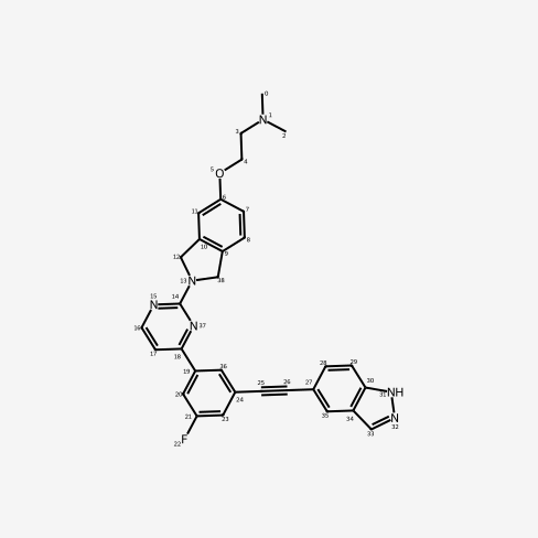 CN(C)CCOc1ccc2c(c1)CN(c1nccc(-c3cc(F)cc(C#Cc4ccc5[nH]ncc5c4)c3)n1)C2